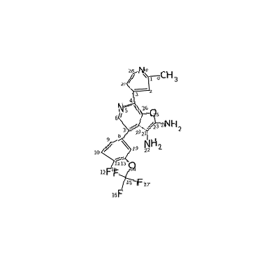 Cc1cc(-c2ncc(-c3ccc(F)c(OC(F)(F)F)c3)c3c(N)c(N)oc23)ccn1